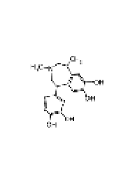 CC1CN(C)CC(c2ccc(O)c(O)c2)c2cc(O)c(O)cc21